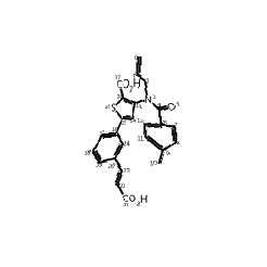 C=CCN(C(=O)c1ccc(C)cc1)c1cc(-c2cccc(C=CC(=O)O)c2)sc1C(=O)O